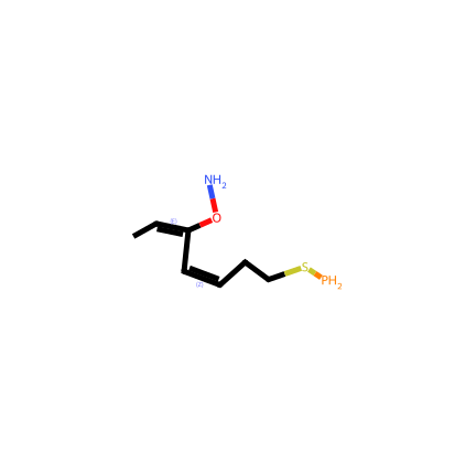 C/C=C(\C=C/CCSP)ON